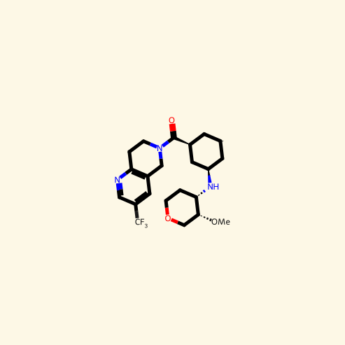 CO[C@@H]1COCC[C@@H]1N[C@@H]1C[CH]C[C@H](C(=O)N2CCc3ncc(C(F)(F)F)cc3C2)C1